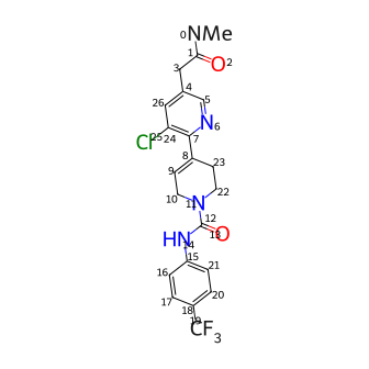 CNC(=O)Cc1cnc(C2=CCN(C(=O)Nc3ccc(C(F)(F)F)cc3)CC2)c(Cl)c1